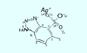 Cc1ccc2[nH]nnc2c1S(=O)(=O)[O-].[Ag+]